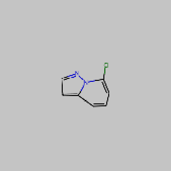 Clc1cc[c]c2ccnn12